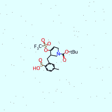 Cc1ccc(S(=O)O)c(CC2CN(C(=O)OC(C)(C)C)CC=C2OS(=O)(=O)C(F)(F)F)c1